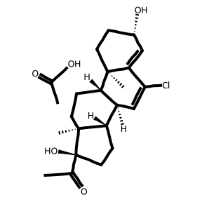 CC(=O)O.CC(=O)[C@@]1(O)CC[C@H]2[C@@H]3C=C(Cl)C4=C[C@@H](O)CC[C@]4(C)[C@H]3CC[C@@]21C